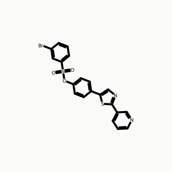 O=S(=O)(Oc1ccc(-c2cnc(-c3cccnc3)s2)cc1)c1cccc(Br)c1